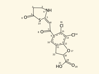 O=C1CCNC(=CC(=O)c2cc3c(c(Cl)c2Cl)OC(C(=O)O)C3)S1